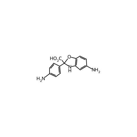 Nc1ccc(C2(C(=O)O)Nc3cc(N)ccc3O2)cc1